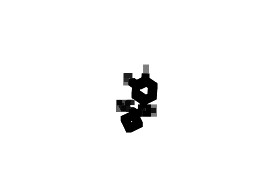 N#CC1(Nc2ccc(I)c(F)c2)CCC1